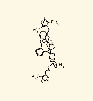 Cc1noc(C)c1CSCC(=O)N1C2CCC1CC(c1ccccc1CCc1ccccc1C1CC13CC1[C@@H](C)CC3N1C(=O)CSCc1cnoc1C)C2